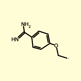 [CH2]COc1ccc(C(=N)N)cc1